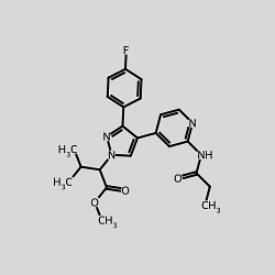 CCC(=O)Nc1cc(-c2cn(C(C(=O)OC)C(C)C)nc2-c2ccc(F)cc2)ccn1